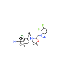 Cc1c(C(C)NC(=O)Cn2cnc3ccc(F)c(F)c32)ccc(C(C)(C)C#N)c1Cl